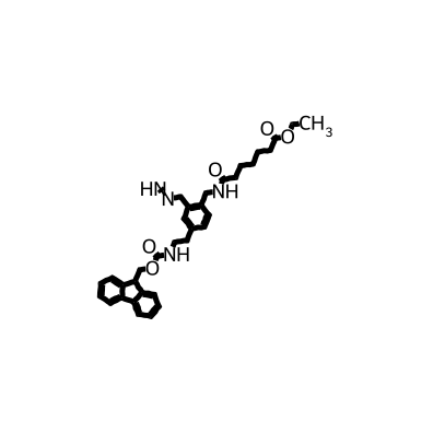 CCOC(=O)CCCCCC(=O)NCc1ccc(CCNC(=O)OCC2c3ccccc3-c3ccccc32)cc1CN=N